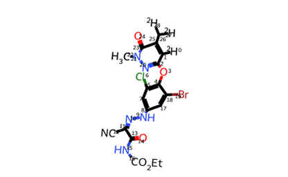 [2H]c1c(Oc2c(Cl)cc(NN=C(C#N)C(=O)NC(=O)OCC)cc2Br)nn(C)c(=O)c1C([2H])[2H]